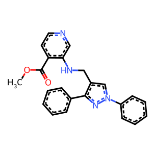 COC(=O)c1ccncc1NCc1cn(-c2ccccc2)nc1-c1ccccc1